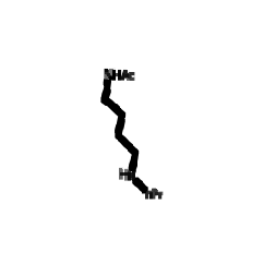 CCCNCCCCNC(C)=O